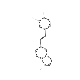 COc1ccc(C=Cc2ccc3c(ccn3C)c2)cc1N